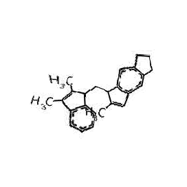 CC1=Cc2cc3c(cc2C1CC1C(C)=C(C)c2ccccc21)CCC3